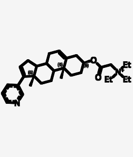 CC[N+](CC)(CC)CC(=O)O[C@H]1CC[C@@]2(C)C(=CCC3C2CC[C@]2(C)C(c4cccnc4)=CCC32)C1